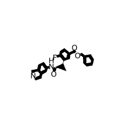 O=C(OCc1ccccc1)c1ccc(F)c([C@@H]2C[C@H]2C(=O)Nc2ccc3cnccc3c2)c1